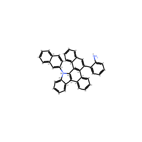 Nc1ccccc1-c1cc2ccccc2c2c1c1ccccc1c1c3ccccc3n(-c3ccc4ccccc4c3)c12